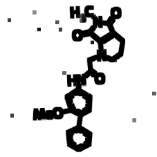 COc1cc(NC(=O)CN2CCCC3=C2C(=O)N(C)C3=O)ccc1-c1ccccc1